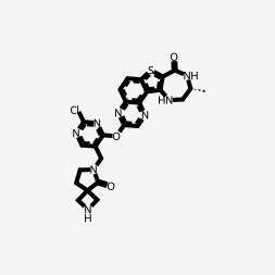 C[C@@H]1CNc2c(sc3ccc4nc(Oc5nc(Cl)ncc5CN5CCC6(CNC6)C5=O)cnc4c23)C(=O)N1